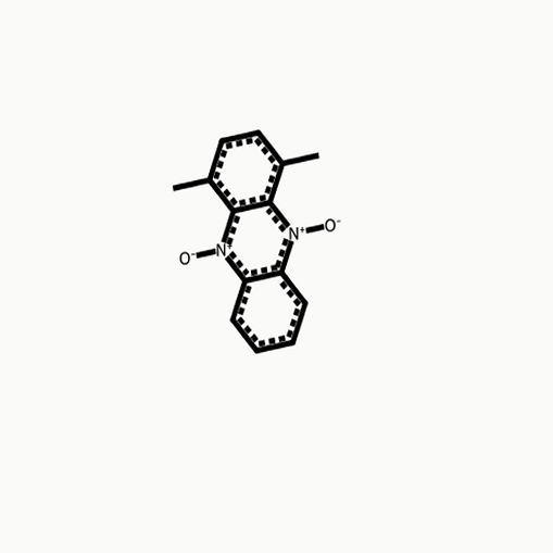 Cc1ccc(C)c2c1[n+]([O-])c1ccccc1[n+]2[O-]